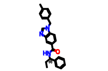 CC[C@@H](NC(=O)c1ccc2c(c1)ncn2Cc1ccc(C)cc1)c1ccccc1